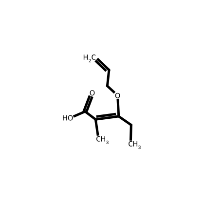 C=CCOC(CC)=C(C)C(=O)O